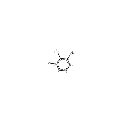 Cc1ncc[n+]([O-])c1O